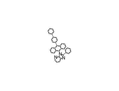 c1ccc(-c2ccc(-c3c4ccccc4c(-n4c(-c5ccccc5)nc5cccnc54)c4ccccc34)cc2)cc1